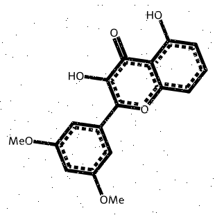 COc1cc(OC)cc(-c2oc3cccc(O)c3c(=O)c2O)c1